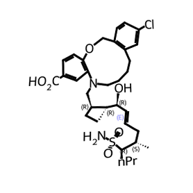 CCC[C@H]([C@@H](C)C/C=C/[C@H](O)[C@@H]1CC[C@H]1CN1CCCCc2cc(Cl)ccc2COc2ccc(C(=O)O)cc21)S(N)(=O)=O